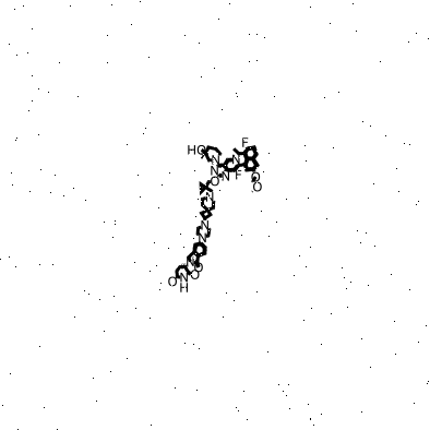 CCc1c(F)ccc2cc(OCOC)cc(-c3ncc4c(N5CCC[C@@](C)(O)C5)nc(OCC5(CN6CCC7(CC6)CC(N6CCN(c8ccc9c(c8)CN([C@H]8CCC(=O)NC8=O)C9=O)CC6)C7)CC5)nc4c3F)c12